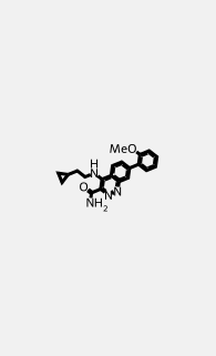 COc1ccccc1-c1ccc2c(NCCC3CC3)c(C(N)=O)nnc2c1